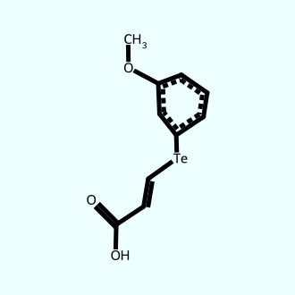 COc1cccc([Te]C=CC(=O)O)c1